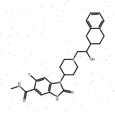 CNC(=O)c1cc2[nH]c(=O)n(C3CCN(CC(O)C4CCc5ccccc5C4)CC3)c2cc1F